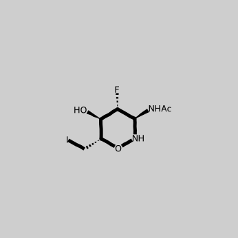 CC(=O)N[C@H]1NO[C@H](CI)[C@@H](O)[C@@H]1F